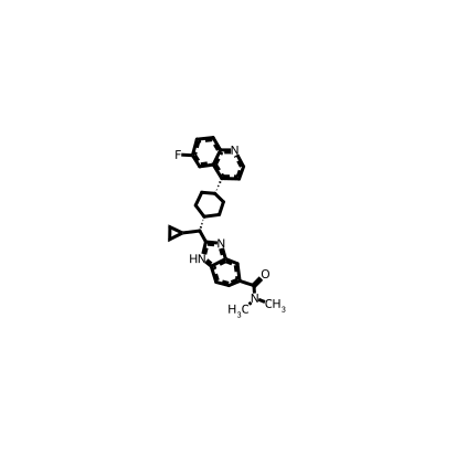 CN(C)C(=O)c1ccc2[nH]c(C(C3CC3)[C@H]3CC[C@@H](c4ccnc5ccc(F)cc54)CC3)nc2c1